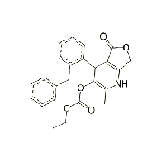 CCOC(=O)OC1=C(C)NC2=C(C(=O)OC2)C1c1ccccc1Cc1ccccc1